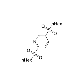 CCCCCCS(=O)(=O)c1ccc(S(=O)(=O)CCCCCC)nc1